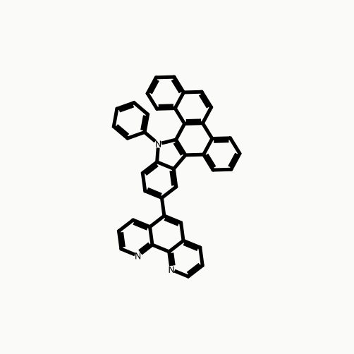 c1ccc(-n2c3ccc(-c4cc5cccnc5c5ncccc45)cc3c3c4ccccc4c4ccc5ccccc5c4c32)cc1